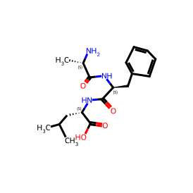 CC(C)C[C@H](NC(=O)[C@H](Cc1ccccc1)NC(=O)[C@H](C)N)C(=O)O